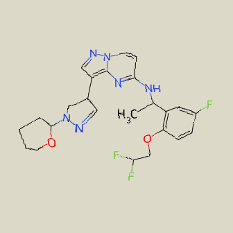 CC(Nc1ccn2ncc(C3C=NN(C4CCCCO4)C3)c2n1)c1cc(F)ccc1OCC(F)F